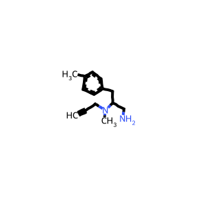 C#CCN(C)C(CN)Cc1ccc(C)cc1